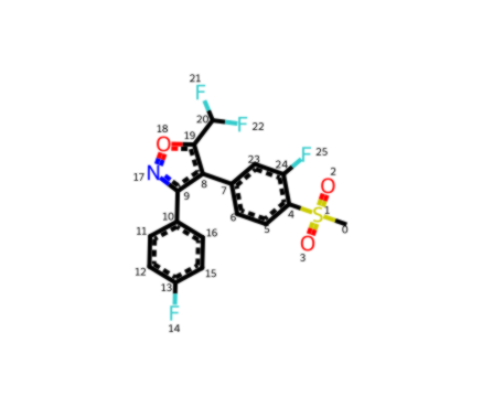 CS(=O)(=O)c1ccc(-c2c(-c3ccc(F)cc3)noc2C(F)F)cc1F